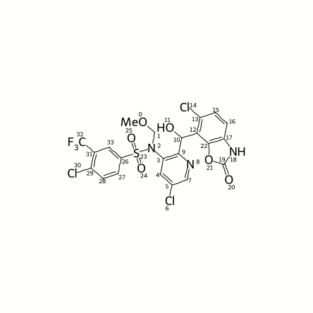 COCN(c1cc(Cl)cnc1C(O)c1c(Cl)ccc2[nH]c(=O)oc12)S(=O)(=O)c1ccc(Cl)c(C(F)(F)F)c1